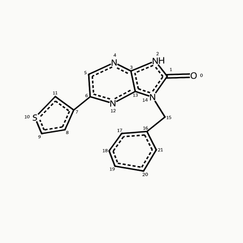 O=c1[nH]c2ncc(-c3ccsc3)nc2n1Cc1ccccc1